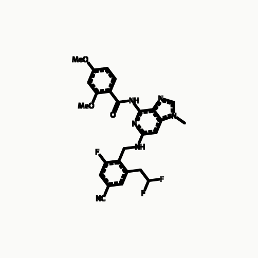 COc1ccc(C(=O)Nc2nc(NCc3c(F)cc(C#N)cc3CC(F)F)cc3c2ncn3C)c(OC)c1